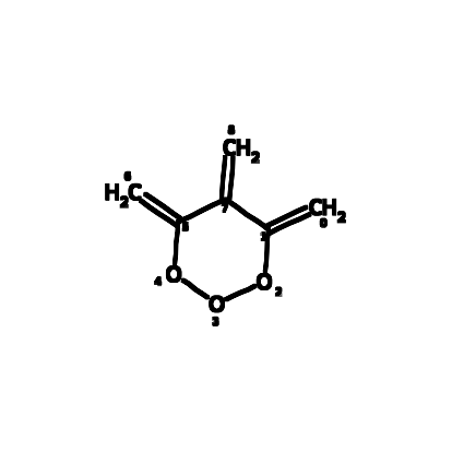 C=C1OOOC(=C)C1=C